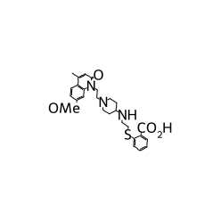 COc1ccc2c(C)cc(=O)n(CCN3CCC(NCCSc4ccccc4C(=O)O)CC3)c2c1